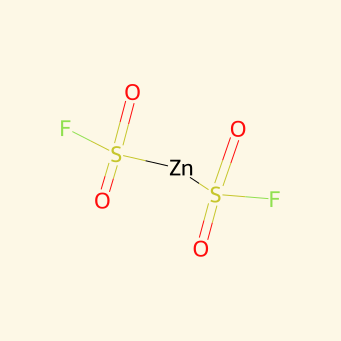 O=[S](=O)(F)[Zn][S](=O)(=O)F